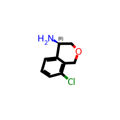 N[C@H]1COCc2c(Cl)cccc21